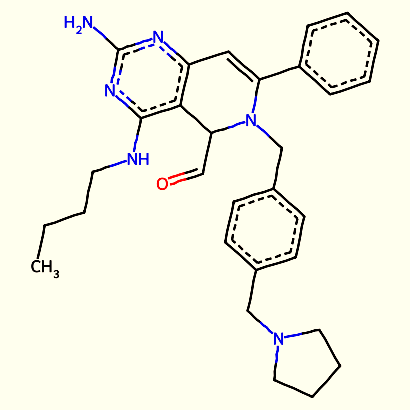 CCCCNc1nc(N)nc2c1C(C=O)N(Cc1ccc(CN3CCCC3)cc1)C(c1ccccc1)=C2